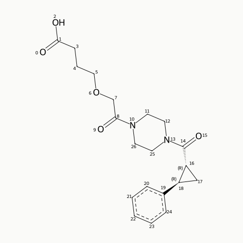 O=C(O)CCCOCC(=O)N1CCN(C(=O)[C@@H]2C[C@H]2c2ccccc2)CC1